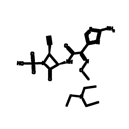 C#C[C@H]1[C@H](NC(=O)/C(=N\OC)c2csc(N)n2)C(=O)N1S(=O)(=O)O.CCN(CC)CC